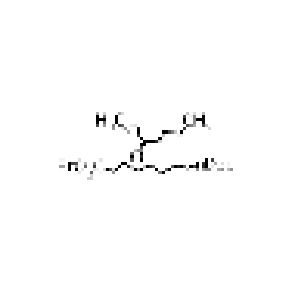 CCCCC(=O)OCC.CCCCCCCCCCCCCCCCCC(=O)OCC